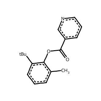 Cc1cccc(C(C)(C)C)c1OC(=O)c1cccnc1